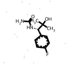 CC(C)(O)[C@@H](NC(N)=O)c1ccc(F)cc1